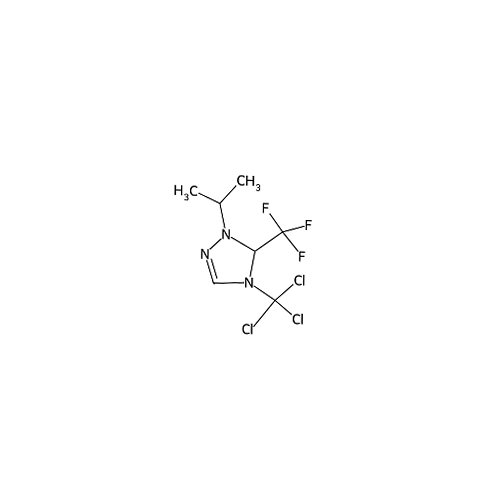 CC(C)N1N=CN(C(Cl)(Cl)Cl)C1C(F)(F)F